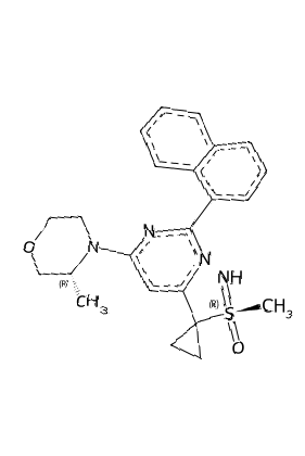 C[C@@H]1COCCN1c1cc(C2([S@](C)(=N)=O)CC2)nc(-c2cccc3ccccc23)n1